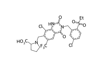 CCS(=O)(=O)c1ccc(Cl)cc1Cn1c(=O)[nH]c2c(Cl)c(CN3CCCC3C(=O)O)c(C(F)(F)F)cc2c1=O